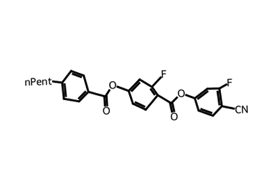 CCCCCc1ccc(C(=O)Oc2ccc(C(=O)Oc3ccc(C#N)c(F)c3)c(F)c2)cc1